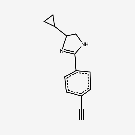 C#Cc1ccc(C2=NC(C3CC3)CN2)cc1